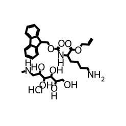 C=CCOC(=O)C(CCCCN)NC(=O)OCC1c2ccccc2-c2ccccc21.CNCC(O)C(O)C(O)C(O)CO.Cl